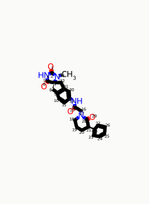 CN1C(=O)NC(=O)[C@@]12Cc1ccc(NC(=O)CN3CCC[C@H](c4ccccc4)C3=O)cc1C2